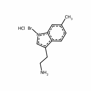 Cc1ccc2c(CCN)cn(Br)c2c1.Cl